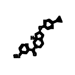 CC(C)(C)c1ccnc(C(=O)N2CCN3C[C@H](Oc4cnc(C5CC5)cn4)C[C@H]3C2)c1